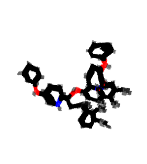 Cc1cccc([SiH2]CC(OC(C[SiH2]c2cccc(C)c2C)c2ccc(Oc3ccccc3)cn2)c2ccc(Oc3ccccc3)cn2)c1C